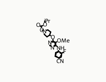 COc1c(Nc2ccc(C#N)cc2F)ncnc1OC1CCN(OC(=O)OC(C)C)CC1